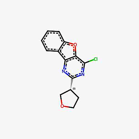 Clc1nc([C@@H]2CCOC2)nc2c1oc1ccccc12